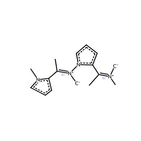 [CH2-]/[N+](C)=C(/C)c1cccn1/[N+]([CH2-])=C(\C)c1cccn1C